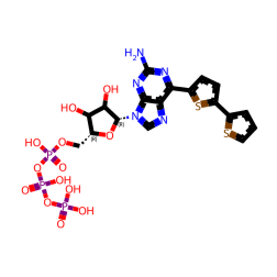 Nc1nc(-c2ccc(-c3cccs3)s2)c2ncn([C@@H]3O[C@H](COP(=O)(O)OP(=O)(O)OP(=O)(O)O)C(O)C3O)c2n1